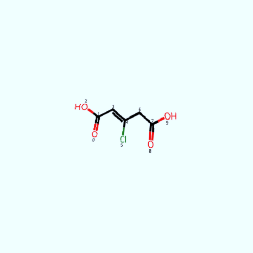 O=C(O)C=C(Cl)CC(=O)O